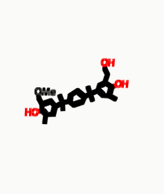 COCc1cc(C(C)(C)c2ccc(C(C)(C)c3cc(C)c(O)c(CCO)c3)cc2)cc(C)c1O